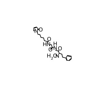 C=NC(CCc1ccccc1)C(=O)CNC(=O)CNC(=O)CCCCCN1CC=CC1=O